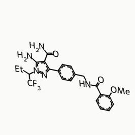 CCC(n1nc(-c2ccc(CNC(=O)c3ccccc3OC)cc2)c(C(N)=O)c1N)C(F)(F)F